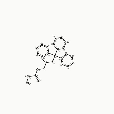 CC(COC(=O)NC(C)(C)C)SC(c1ccccc1)(c1ccccc1)c1ccccc1